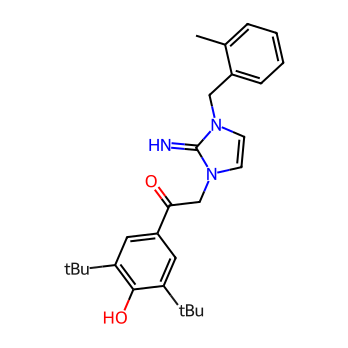 Cc1ccccc1Cn1ccn(CC(=O)c2cc(C(C)(C)C)c(O)c(C(C)(C)C)c2)c1=N